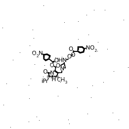 CC(C)[C@H]1C(=O)N2C(C(=O)OC(=O)c3ccc([N+](=O)[O-])cc3)=C(CN3CC(NCOOC(=O)c4ccc([N+](=O)[O-])cc4)C3)[C@H](C)[C@H]12